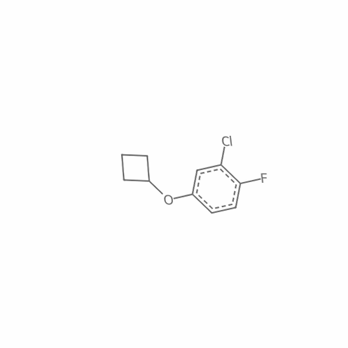 Fc1ccc(OC2CCC2)cc1Cl